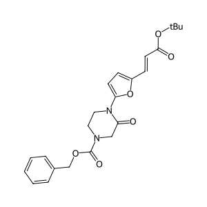 CC(C)(C)OC(=O)/C=C/c1ccc(N2CCN(C(=O)OCc3ccccc3)CC2=O)o1